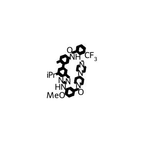 COc1ccc(C(=O)N2CCC(N3CCN(C)CC3)CC2)cc1Nc1ncc2cc(-c3cc(NC(=O)c4cccc(C(F)(F)F)c4)ccc3C)cc(C(C)C)c2n1